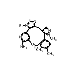 CCn1nnc2c1-c1cnc(N)c(c1)O[C@H](C)c1cc(C)ccc1-c1c(cnn1C)C2